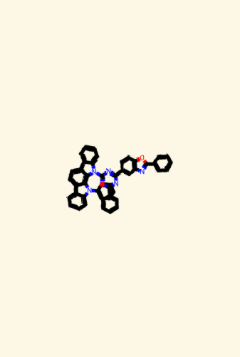 c1ccc(-c2nc(-c3ccc4oc(-c5ccccc5)nc4c3)nc(-n3c4ccccc4c4ccc5c6ccccc6n(-c6ccccc6)c5c43)n2)cc1